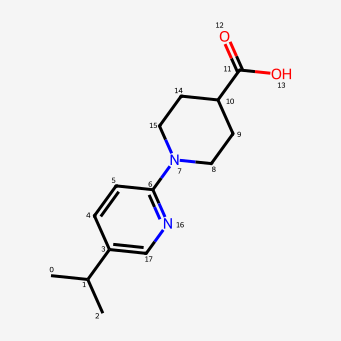 CC(C)c1ccc(N2CCC(C(=O)O)CC2)nc1